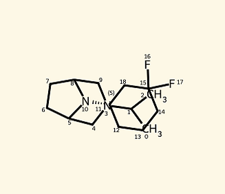 CC(C)N1CC2CCC(C1)N2[C@H]1CCCC(F)(F)C1